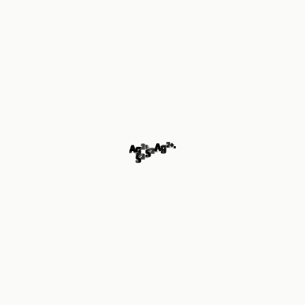 [Ag+2].[Ag+2].[S-2].[S-2]